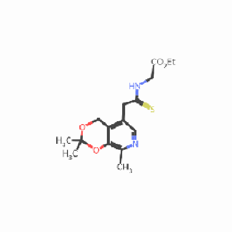 CCOC(=O)CNC(=S)Cc1cnc(C)c2c1COC(C)(C)O2